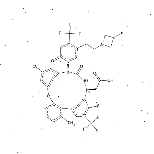 Cc1cccc2c1-c1cc(c(F)c(C(F)(F)F)c1)[C@H](CC(=O)O)NC(=O)[C@H](n1cc(CCN3CC(F)C3)c(C(F)(F)F)cc1=O)c1cc(Cl)cc(c1)O2